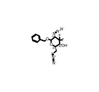 [N-]=[N+]=NC[C@H]1OC(OCc2ccccc2)[C@H](N=[N+]=[N-])C(F)(F)[C@@H]1O